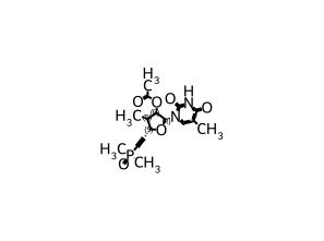 CC(=O)O[C@@H]1[C@H](C)[C@@H](C#CP(C)(C)=O)O[C@H]1n1cc(C)c(=O)[nH]c1=O